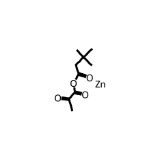 CC(=O)C(=O)OC(=O)CC(C)(C)C.[Zn]